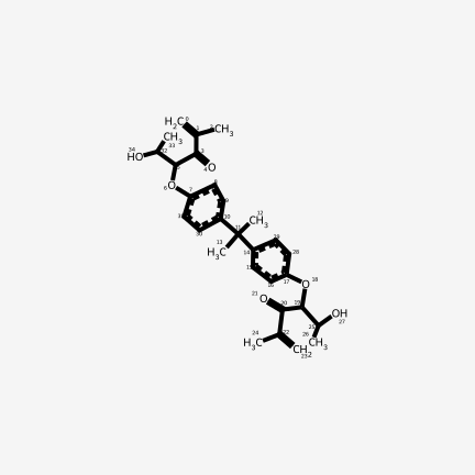 C=C(C)C(=O)C(Oc1ccc(C(C)(C)c2ccc(OC(C(=O)C(=C)C)C(C)O)cc2)cc1)C(C)O